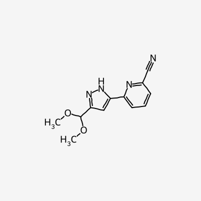 COC(OC)c1cc(-c2cccc(C#N)n2)[nH]n1